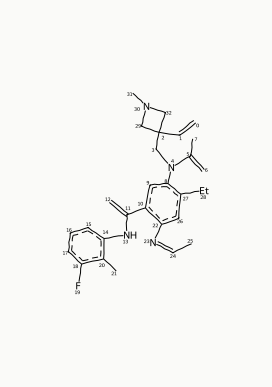 C=CC1(CN(C(=C)C)c2cc(C(=C)Nc3cccc(F)c3C)c(/N=C\C)cc2CC)CN(C)C1